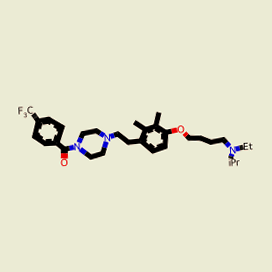 CCN(CCCCOc1ccc(CCN2CCN(C(=O)c3ccc(C(F)(F)F)cc3)CC2)c(C)c1C)C(C)C